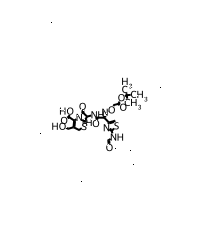 CC(C)(C)OC(=O)CON=C(C(=O)NC1C(=O)N2C(C(=O)O)=C(CO)CS[C@@H]12)c1csc(NC=O)n1